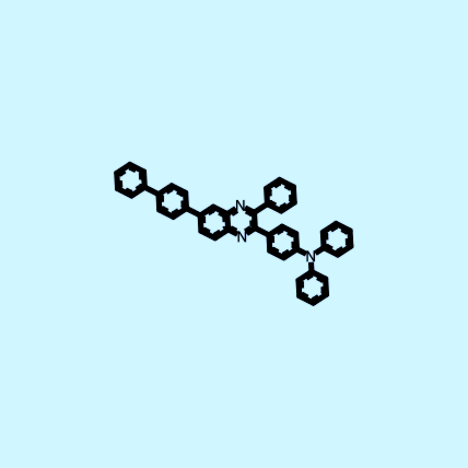 c1ccc(-c2ccc(-c3ccc4nc(-c5ccc(N(c6ccccc6)c6ccccc6)cc5)c(-c5ccccc5)nc4c3)cc2)cc1